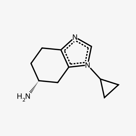 N[C@@H]1CCc2ncn(C3CC3)c2C1